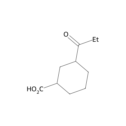 CCC(=O)C1CCCC(C(=O)O)C1